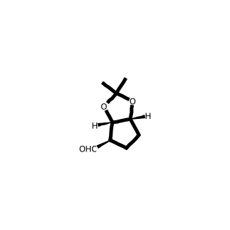 CC1(C)O[C@H]2[C@H](C=O)CC[C@H]2O1